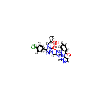 Cn1nccc1NC(=O)c1ccccc1-n1cnc(Cn2nc(-c3ccc(Cl)cc3)n(CC(O)C(F)(F)F)c2=O)n1